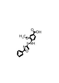 COc1cc(C(=O)O)ccc1NSc1coc(-c2ccccc2)n1